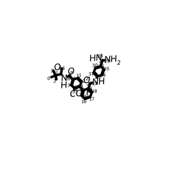 CC1(C)COC[C@H]1NC(=O)c1ccc(-c2ccccc2C(=O)Nc2ccc(C(=N)N)cc2)c(C(=O)O)c1